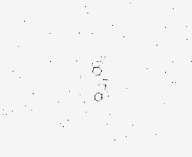 Br.CN(C)S(=O)(=O)c1cc(-c2cs/c(=N/c3ccc(O)cc3)n2C)ccc1Cl